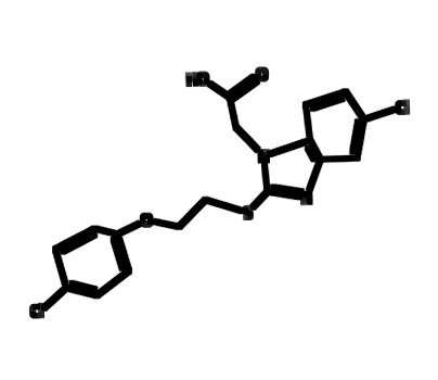 O=C(O)Cn1c(SCCOc2ccc(Cl)cc2)nc2cc(Cl)ccc21